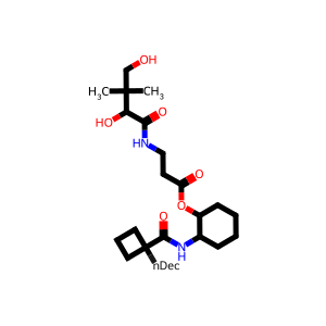 CCCCCCCCCCC1(C(=O)NC2CCCCC2OC(=O)CCNC(=O)C(O)C(C)(C)CO)CCC1